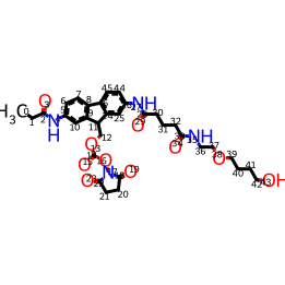 CCC(=O)Nc1ccc2c(c1)C(COC(=O)ON1C(=O)CCC1=O)c1cc(NC(=O)CCCC(=O)NCCOCCCCO)ccc1-2